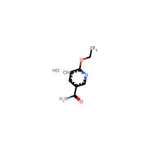 Cl.Cl.NC(=O)c1ccc(OCC(F)(F)F)nc1